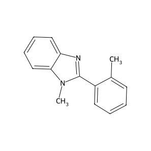 Cc1ccccc1-c1nc2ccccc2n1C